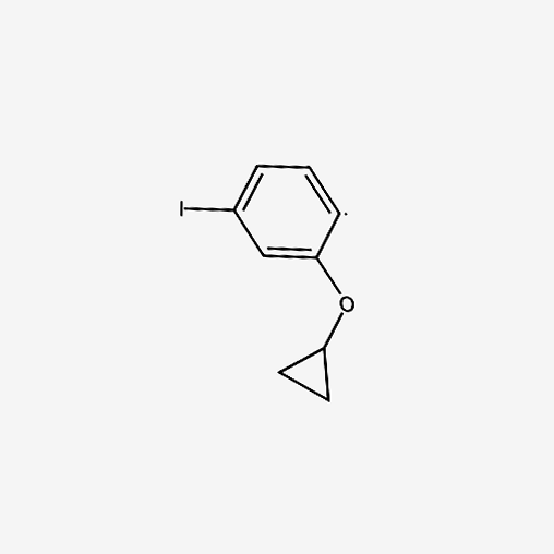 Ic1cc[c]c(OC2CC2)c1